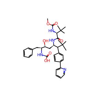 COC(=O)N[C@H](C(=O)N[C@H](C[C@H](O)[C@H](Cc1ccccc1)NC(=O)O)C(c1ccc(-c2ccccn2)cc1)C(C)(C)C)C(C)(C)C